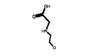 O=C(O)CNCCCl